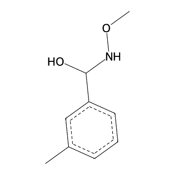 CONC(O)c1cccc(C)c1